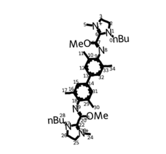 CCCCN1CC[N+](C)=C1/C(=N/c1c(C)cc(-c2cc(C)c(/N=C(\OC)C3=[N+](C)CCN3CCCC)c(C)c2)cc1C)OC